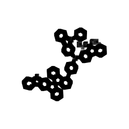 CC1(C)c2ccccc2-c2ccc(N(c3ccc(-c4cccc5c4-c4ccccc4C54c5ccccc5-c5cc6c(cc54)sc4ccccc46)cc3)c3ccc4c5ccccc5n(-c5ccccc5)c4c3)cc21